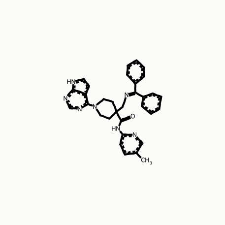 Cc1ccc(NC(=O)C2(CN=C(c3ccccc3)c3ccccc3)CCN(c3ncnc4[nH]ccc34)CC2)nc1